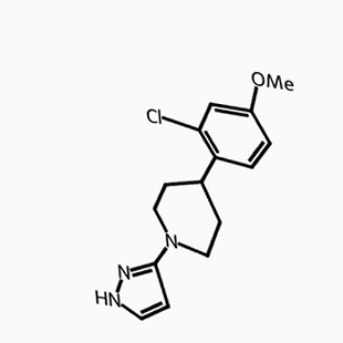 COc1ccc(C2CCN(c3cc[nH]n3)CC2)c(Cl)c1